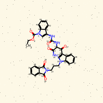 CCOC(=O)n1cc(NC(=O)NC(C(N)=O)C(=O)c2cn(CCCN3C(=O)c4ccccc4C3=O)c3ccccc23)c2ccccc21